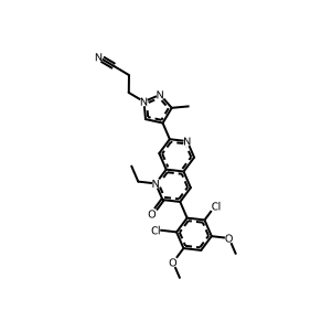 CCn1c(=O)c(-c2c(Cl)c(OC)cc(OC)c2Cl)cc2cnc(-c3cn(CCC#N)nc3C)cc21